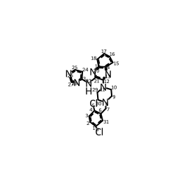 Clc1ccc(Cl)c(CN2CCN(c3nc4ccccc4nc3Nc3ccncn3)CC2)c1